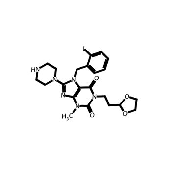 Cn1c(=O)n(CCC2OCCO2)c(=O)c2c1nc(N1CCNCC1)n2Cc1ccccc1I